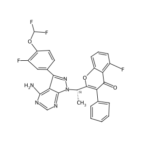 C[C@@H](c1oc2cccc(F)c2c(=O)c1-c1ccccc1)n1nc(-c2ccc(OC(F)F)c(F)c2)c2c(N)ncnc21